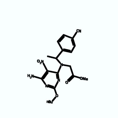 CCCCOc1nc(N)c([N+](=O)[O-])c(N(CC(=O)OC)C(C)c2ccc(C#N)cc2)n1